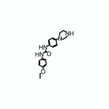 CCOc1ccc(NC(=O)Nc2ccc(N3CCNCC3)cc2)cc1